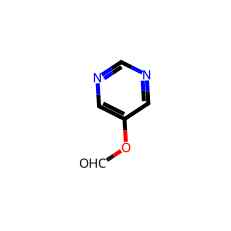 O=COc1cncnc1